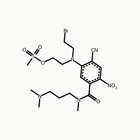 CN(C)CCCN(C)C(=O)c1cc(N(CCBr)CCOS(C)(=O)=O)c(C#N)cc1[N+](=O)[O-]